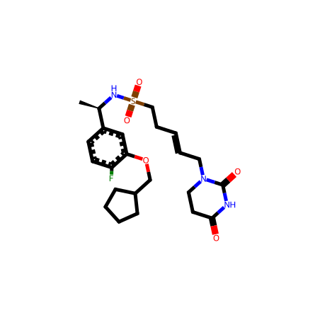 C[C@@H](NS(=O)(=O)CC/C=C/CN1CCC(=O)NC1=O)c1ccc(F)c(OCC2CCCC2)c1